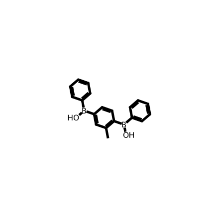 Cc1cc(B(O)c2ccccc2)ccc1B(O)c1ccccc1